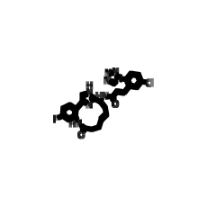 O=C(/C=C/c1cc(Cl)ccc1-n1cnnn1)N[C@H]1C/C=C/CCC(=O)Nc2cc(F)ccc2-c2c[nH]c1n2